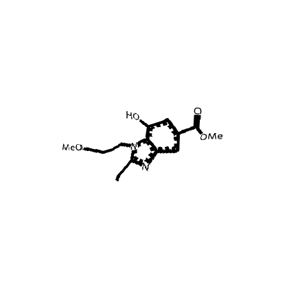 COCCn1c(C)nc2cc(C(=O)OC)cc(O)c21